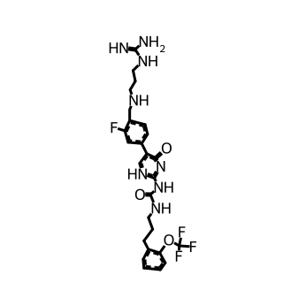 N=C(N)NCCCNCc1ccc(-c2c[nH]c(NC(=O)NCCCc3ccccc3OC(F)(F)F)nc2=O)cc1F